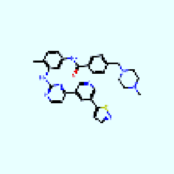 Cc1ccc(NC(=O)c2ccc(CN3CCN(C)CC3)cc2)cc1Nc1nccc(-c2cncc(-c3ccns3)c2)n1